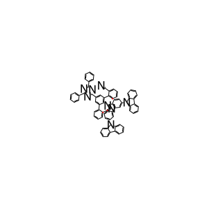 N#Cc1ccccc1-c1cc(-c2nc(-c3ccccc3)nc(-c3ccccc3)n2)cc(-c2ccccc2C#N)c1-n1c2ccc(-n3c4ccccc4c4ccccc43)cc2c2cc(-n3c4ccccc4c4ccccc43)ccc21